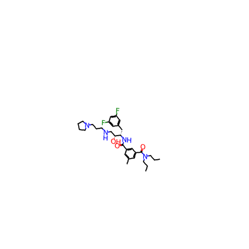 CCCN(CCC)C(=O)c1cc(C)cc(C(=O)N[C@@H](Cc2cc(F)cc(F)c2)[C@H](O)CNCCCN2CCCC2)c1